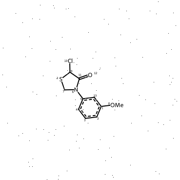 COc1cccc(N2CSC(Cl)C2=O)c1